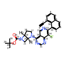 C#Cc1cccc2cccc(-c3ncc4c(N5CC[C@@H]6[C@H]5CN6C(=O)OC(C)(C)C)ncnc4c3F)c12